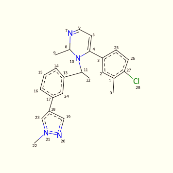 Cc1cc(C2=CC=NC(C)N2C(C)c2cccc(-c3cnn(C)c3)c2)ccc1Cl